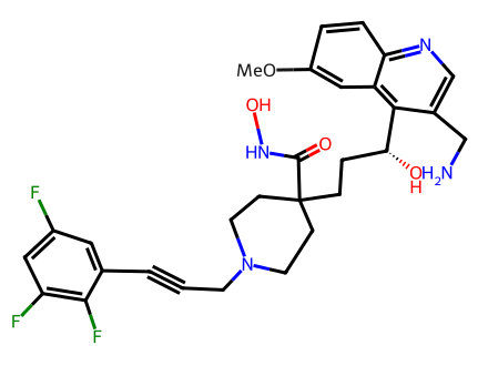 COc1ccc2ncc(CN)c([C@H](O)CCC3(C(=O)NO)CCN(CC#Cc4cc(F)cc(F)c4F)CC3)c2c1